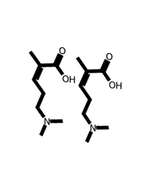 CC(=CCCN(C)C)C(=O)O.CC(=CCCN(C)C)C(=O)O